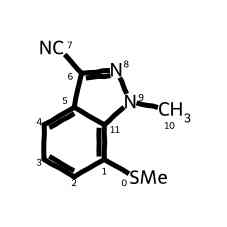 CSc1cccc2c(C#N)nn(C)c12